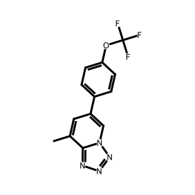 Cc1cc(-c2ccc(OC(F)(F)F)cc2)cn2nnnc12